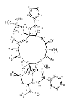 CC[C@H]1OC(=O)[C@H](C)C(=O)[C@H](C)[C@@H](OC2O[C@H](C)C[C@H](N(C)C)[C@H]2OC(=O)c2ccccc2)[C@@](C)(OC)C[C@@H](C)C(=O)/C(C)=C/[C@]1(CO[Si](C)(C)C(C)(C)C)OC(=O)n1ccnc1